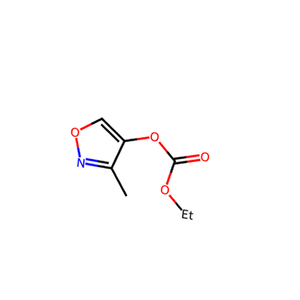 CCOC(=O)Oc1conc1C